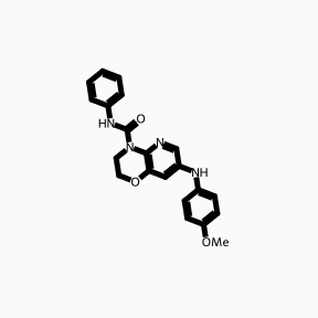 COc1ccc(Nc2cnc3c(c2)OCCN3C(=O)Nc2ccccc2)cc1